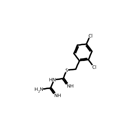 N=C(N)NC(=N)SCc1ccc(Cl)cc1Cl